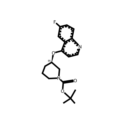 CC(C)(C)OC(=O)N1CCC[C@@H](Oc2ccnc3ccc(F)cc23)C1